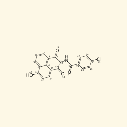 O=C(NN1C(=O)c2cccc3c(O)ccc(c23)C1=O)c1ccc(Cl)cc1